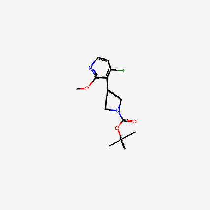 COc1nccc(F)c1C1CN(C(=O)OC(C)(C)C)C1